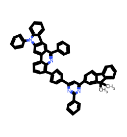 CC1(C)c2ccccc2-c2ccc(-c3cc(-c4ccc(-c5cccc6c5nc(-c5ccccc5)c5cc7c8ccccc8n(-c8ccccc8)c7cc56)cc4)nc(-c4ccccc4)n3)cc21